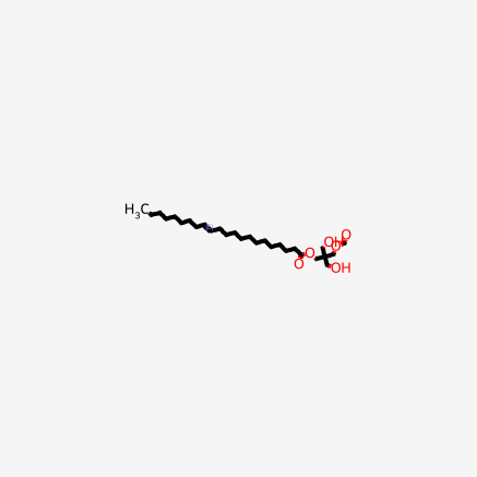 CCCCCCCC/C=C/CCCCCCCCCCCC(=O)OCC(CO)(CO)COC=O